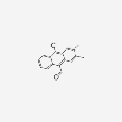 Cc1cc2c(Cl)c3ccccc3c(C=O)c2cc1C